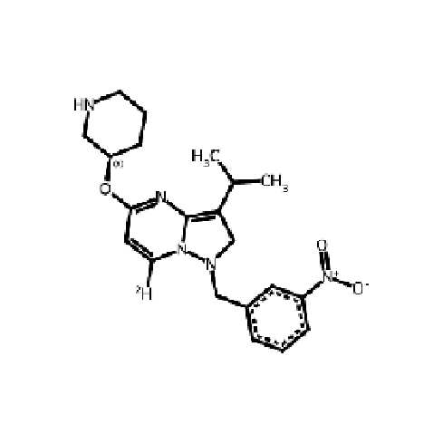 [2H]C1=CC(O[C@@H]2CCCNC2)=NC2=C(C(C)C)CN(Cc3cccc([N+](=O)[O-])c3)N12